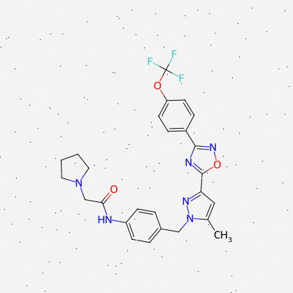 Cc1cc(-c2nc(-c3ccc(OC(F)(F)F)cc3)no2)nn1Cc1ccc(NC(=O)CN2CCCC2)cc1